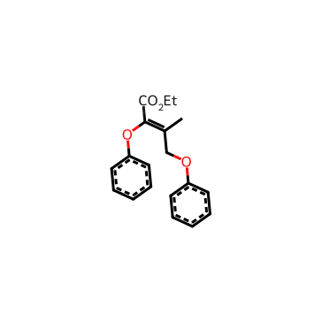 CCOC(=O)C(Oc1ccccc1)=C(C)COc1ccccc1